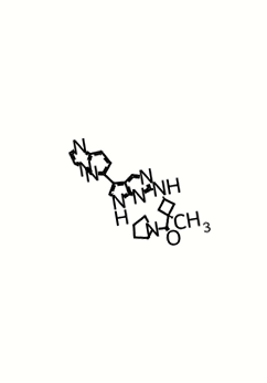 C[C@]1(C(=O)N2CCCC2)C[C@@H](Nc2ncc3c(-c4ccc5nccn5n4)c[nH]c3n2)C1